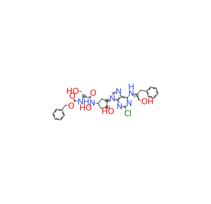 O=C(N[C@H](CO)C(=O)N(O)C1C[C@@H](n2cnc3c(N[C@H](CO)Cc4ccccc4)nc(Cl)nc32)[C@@H](O)C1)OCc1ccccc1